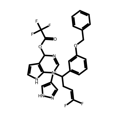 O=C(OC1N=C[N+](c2cn[nH]c2)(C(CC=C(F)F)c2cccc(OCc3ccccc3)c2)c2[nH]ccc21)C(F)(F)F